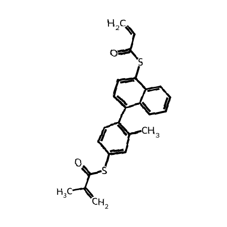 C=CC(=O)Sc1ccc(-c2ccc(SC(=O)C(=C)C)cc2C)c2ccccc12